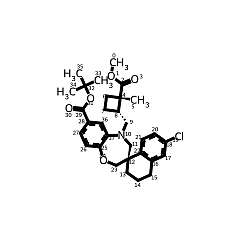 COC(=O)[C@@]1(C)CC[C@H]1CN1C[C@@]2(CCCc3cc(Cl)ccc32)COc2ccc(C(=O)OC(C)(C)C)cc21